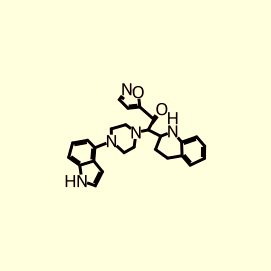 O=C(c1ccno1)C(C1CCc2ccccc2N1)N1CCN(c2cccc3[nH]ccc23)CC1